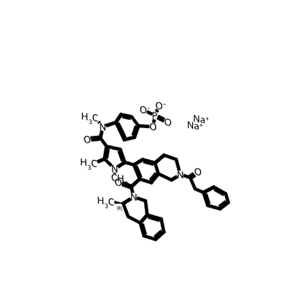 Cc1c(C(=O)N(C)c2ccc(OP(=O)([O-])[O-])cc2)cc(-c2cc3c(cc2C(=O)N2Cc4ccccc4C[C@H]2C)CN(C(=O)Cc2ccccc2)CC3)n1C.[Na+].[Na+]